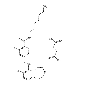 CCCCCCCNC(=O)c1ccc(CNc2c(Cl)ccc3c2CCNCC3)cc1F.O=C(O)CCC(=O)O